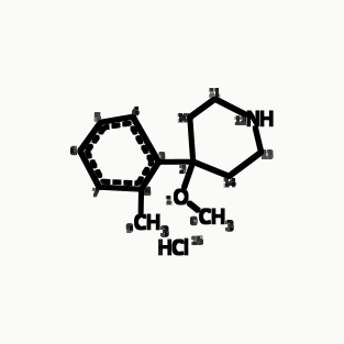 COC1(c2ccccc2C)CCNCC1.Cl